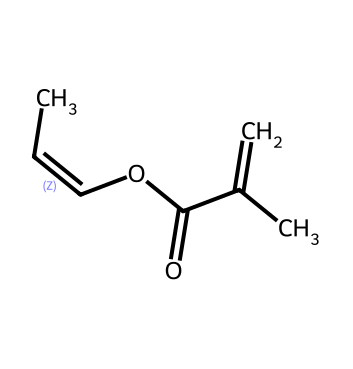 C=C(C)C(=O)O/C=C\C